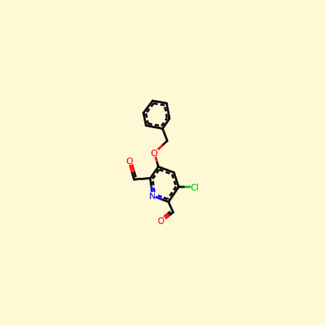 O=Cc1nc(C=O)c(OCc2ccccc2)cc1Cl